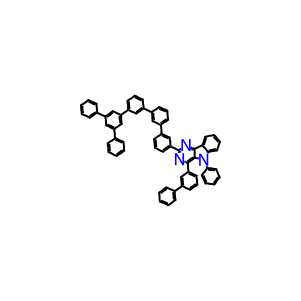 c1ccc(-c2cc(-c3ccccc3)cc(-c3cccc(-c4cccc(-c5cccc(-c6nc(-c7cccc(-c8ccccc8)c7)c7c(n6)c6ccccc6n7-c6ccccc6)c5)c4)c3)c2)cc1